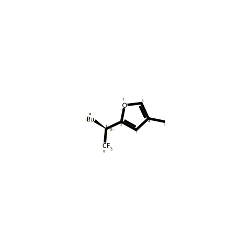 CCC(C)[C@@H](c1cc(C)co1)C(F)(F)F